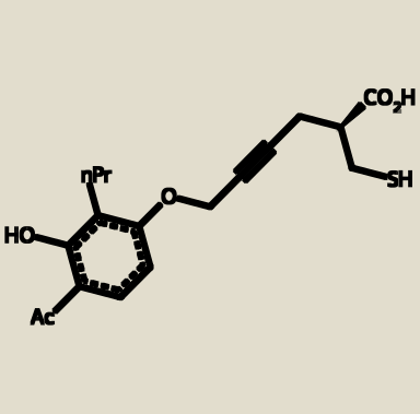 CCCc1c(OCC#CC[C@H](CS)C(=O)O)ccc(C(C)=O)c1O